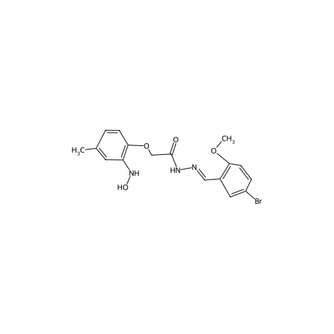 COc1ccc(Br)cc1/C=N/NC(=O)COc1ccc(C)cc1NO